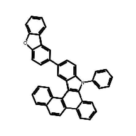 c1ccc(-n2c3ccc(-c4ccc5oc6ccccc6c5c4)cc3c3c4c5ccccc5ccc4c4ccccc4c32)cc1